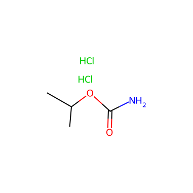 CC(C)OC(N)=O.Cl.Cl